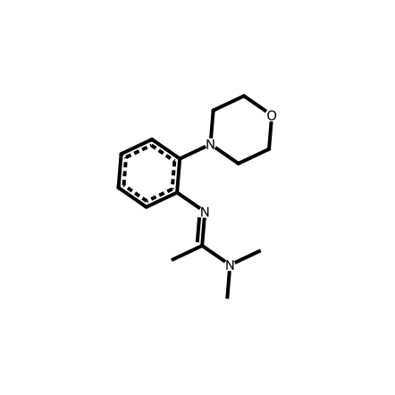 C/C(=N\c1ccccc1N1CCOCC1)N(C)C